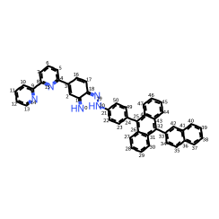 N=C1C=C(c2cccc(-c3ccccn3)n2)C=C/C1=N/Nc1ccc(-c2c3ccccc3c(-c3ccc4ccccc4c3)c3ccccc23)cc1